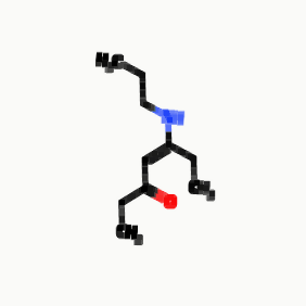 CCCNC(=CC(=O)CC)CC